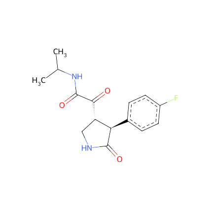 CC(C)NC(=O)C(=O)[C@H]1CNC(=O)[C@@H]1c1ccc(F)cc1